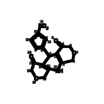 O=C1COCC2=C1C(c1ccc([N+](=O)[O-])s1)C1=C(COCC1=O)N2